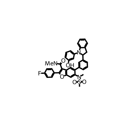 CNC(=O)c1c(-c2ccc(F)cc2)oc2cc(N(C)S(C)(=O)=O)c(-c3cccc(C4Cc5ccccc5N4c4cccc(O)c4)c3)cc12